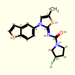 Cc1cn(-c2ccc3sccc3c2)c(=NC(=O)N2CC[C@@H](F)C2)s1